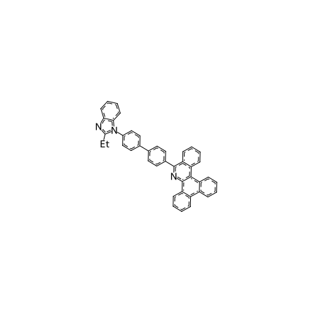 CCc1nc2ccccc2n1-c1ccc(-c2ccc(-c3nc4c5ccccc5c5ccccc5c4c4ccccc34)cc2)cc1